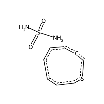 NS(N)(=O)=O.c1ccccsccc1